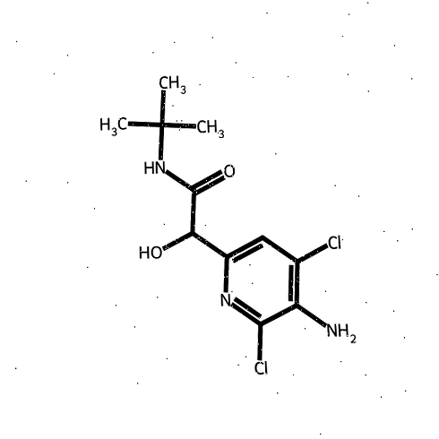 CC(C)(C)NC(=O)C(O)c1cc(Cl)c(N)c(Cl)n1